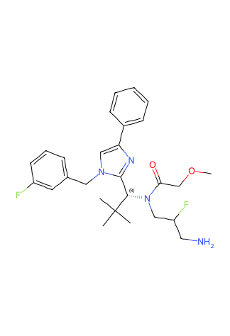 COCC(=O)N(CC(F)CN)[C@@H](c1nc(-c2ccccc2)cn1Cc1cccc(F)c1)C(C)(C)C